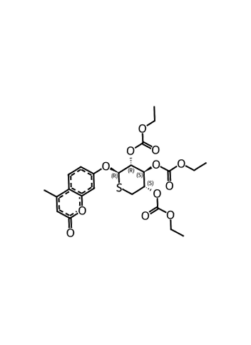 CCOC(=O)O[C@@H]1[C@@H](OC(=O)OCC)[C@H](OC(=O)OCC)CS[C@H]1Oc1ccc2c(C)cc(=O)oc2c1